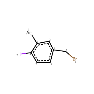 CC(=O)c1cc(CBr)ccc1I